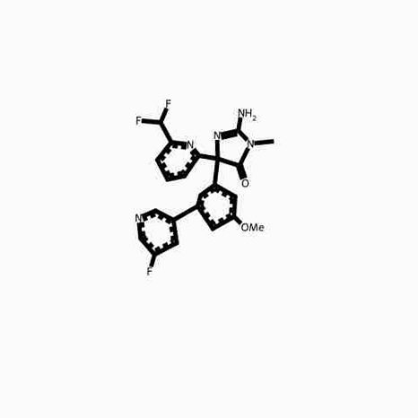 COc1cc(-c2cncc(F)c2)cc(C2(c3cccc(C(F)F)n3)N=C(N)N(C)C2=O)c1